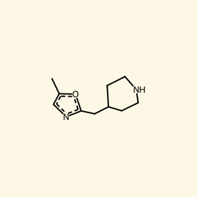 Cc1cnc(CC2CCNCC2)o1